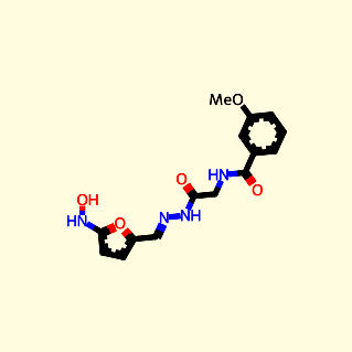 COc1cccc(C(=O)NCC(=O)N/N=C/c2ccc(NO)o2)c1